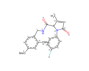 COc1ccc(CNC(=O)C2C(C)=CC(=O)N2c2ccc(F)cc2)c(OC)c1